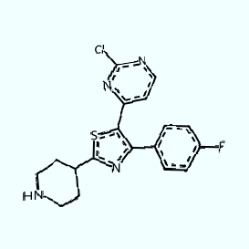 Fc1ccc(-c2nc(C3CCNCC3)sc2-c2ccnc(Cl)n2)cc1